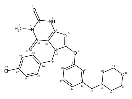 Cn1c(=O)[nH]c2nc(Oc3cccc(CN4CCOCC4)c3)n(Cc3ccc(Cl)cc3)c2c1=O